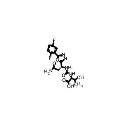 CC(O)C(NC(=O)N[C@@H](CC(N)=O)c1nnc(-c2cc(F)ccc2F)o1)C(=O)O